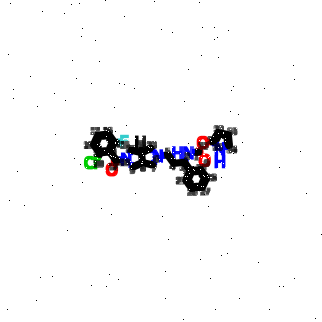 O=C(NC(CCN1CC2CN(C(=O)c3c(F)cccc3Cl)C[C@@H]2C1)c1ccccc1)Oc1ccc[nH]1